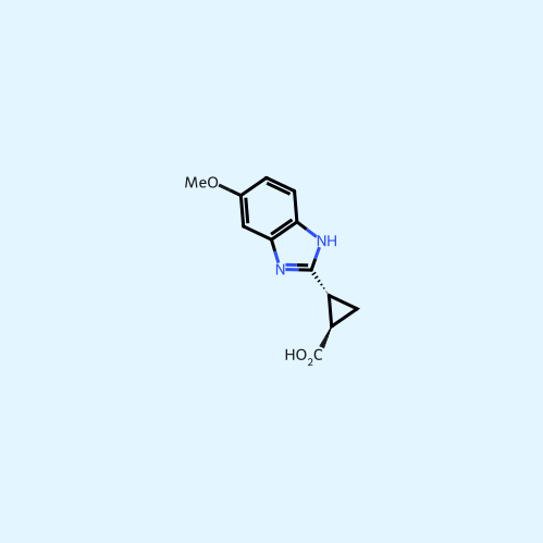 COc1ccc2[nH]c([C@@H]3C[C@H]3C(=O)O)nc2c1